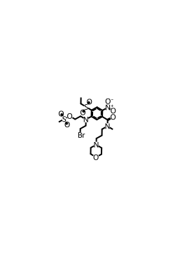 CCS(=O)(=O)c1cc([N+](=O)[O-])c(C(=O)N(C)CCCN2CCOCC2)cc1N(CCBr)CCOS(C)(=O)=O